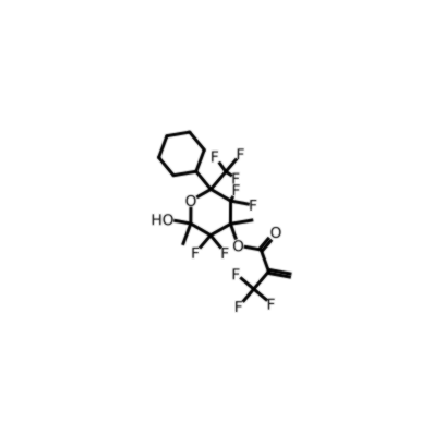 C=C(C(=O)OC1(C)C(F)(F)C(C)(O)OC(C2CCCCC2)(C(F)(F)F)C1(F)F)C(F)(F)F